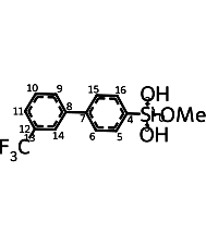 CO[Si](O)(O)c1ccc(-c2cccc(C(F)(F)F)c2)cc1